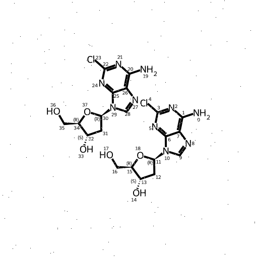 Nc1nc(Cl)nc2c1ncn2[C@H]1C[C@H](O)[C@@H](CO)O1.Nc1nc(Cl)nc2c1ncn2[C@H]1C[C@H](O)[C@@H](CO)O1